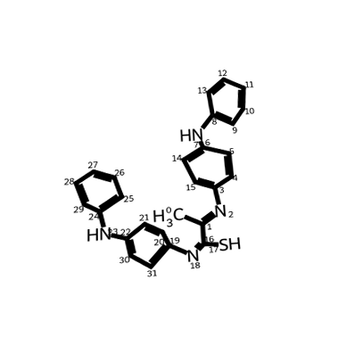 CC(=N\c1ccc(Nc2ccccc2)cc1)/C(S)=N\c1ccc(Nc2ccccc2)cc1